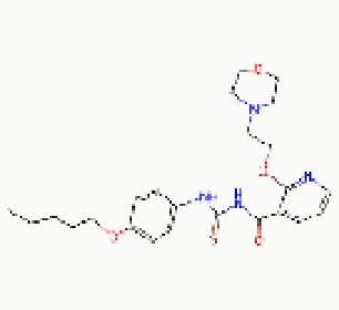 CCCCCOc1ccc(NC(=S)NC(=O)c2cccnc2OCCN2CCOCC2)cc1